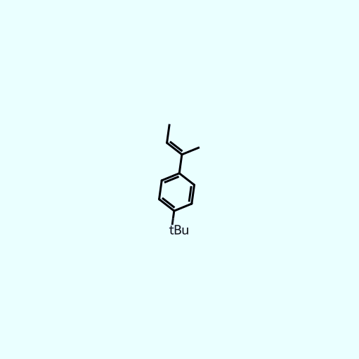 CC=C(C)c1ccc(C(C)(C)C)cc1